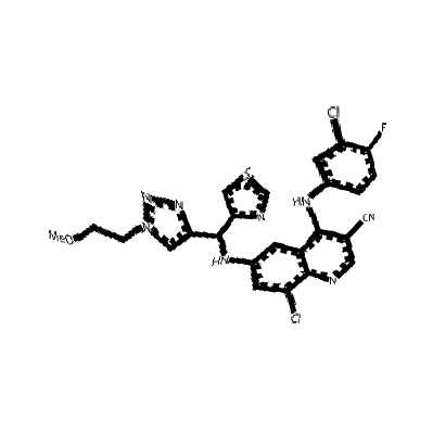 COCCn1cc(C(Nc2cc(Cl)c3ncc(C#N)c(Nc4ccc(F)c(Cl)c4)c3c2)c2cscn2)nn1